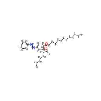 CCCCCCCCCCCCOC1(OC(C)CCCCCC)C=CC(N=Nc2ccccc2)=CC1